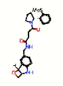 CSc1ccccc1[C@H]1CCCN1C(=O)CCC(=O)NCc1ccc2c(c1)[C@H]1OCC1N2